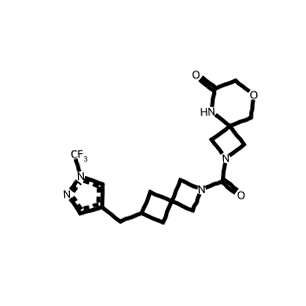 O=C1COCC2(CN(C(=O)N3CC4(CC(Cc5cnn(C(F)(F)F)c5)C4)C3)C2)N1